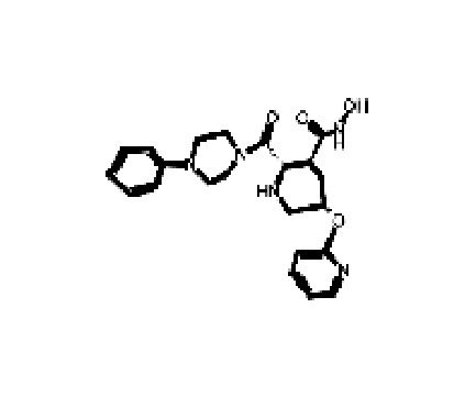 O=C(NO)[C@H]1C[C@H](Oc2ccccn2)CN[C@@H]1C(=O)N1CCN(c2ccccc2)CC1